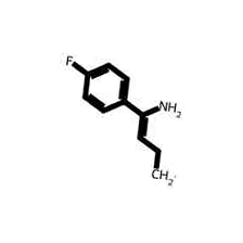 [CH2]CC=C(N)c1ccc(F)cc1